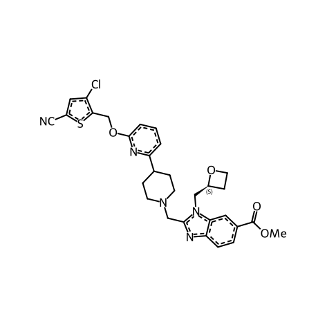 COC(=O)c1ccc2nc(CN3CCC(c4cccc(OCc5sc(C#N)cc5Cl)n4)CC3)n(C[C@@H]3CCO3)c2c1